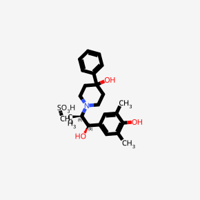 CS(=O)(=O)O.Cc1cc([C@@H](O)[C@@H](C)N2CCC(O)(c3ccccc3)CC2)cc(C)c1O